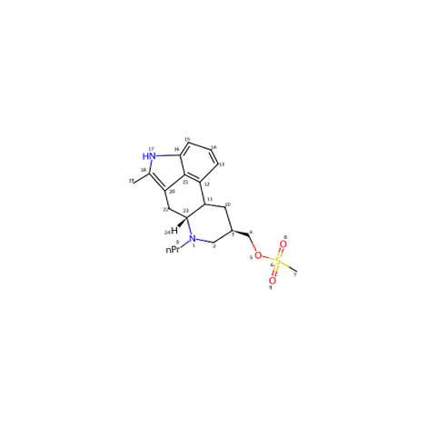 CCCN1C[C@H](COS(C)(=O)=O)CC2c3cccc4[nH]c(C)c(c34)C[C@H]21